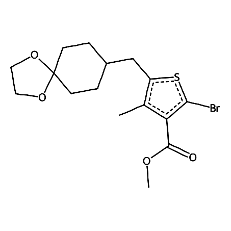 COC(=O)c1c(Br)sc(CC2CCC3(CC2)OCCO3)c1C